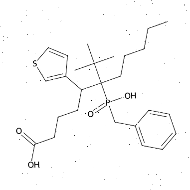 CCCCCC(C(CCCC(=O)O)c1ccsc1)(C(C)(C)C)P(=O)(O)Cc1ccccc1